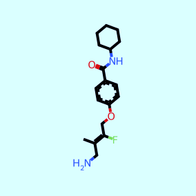 C/C(CN)=C(/F)COc1ccc(C(=O)NC2CCCCC2)cc1